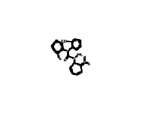 NN(C(=O)N(c1ccccc1Br)c1ccccc1C(F)(F)F)C1C=CC=CC1=S(=O)=O